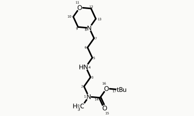 CN(CCNCCCN1CCOCC1)C(=O)OC(C)(C)C